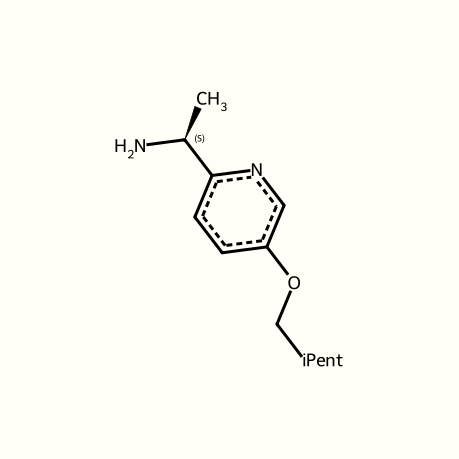 CCCC(C)COc1ccc([C@H](C)N)nc1